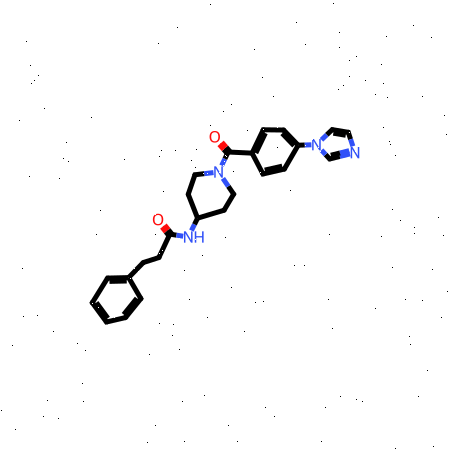 O=C(CCc1ccccc1)NC1CCN(C(=O)c2ccc(-n3ccnc3)cc2)CC1